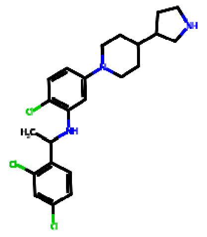 CC(Nc1cc(N2CCC(C3CCNC3)CC2)ccc1Cl)c1ccc(Cl)cc1Cl